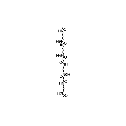 CC(=O)NCCCCCN(O)C(=O)NCCCCCN(O)C(=O)CCC(=O)NCCCCCN(O)C(=O)CCC(=O)NCCCCCN(O)C(C)=O